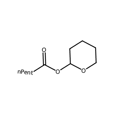 CCCCCC(=O)OC1CCCCO1